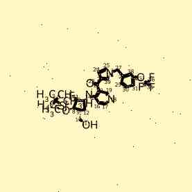 CC(C)(C)[Si](C)(C)O[C@@H]1[C@@H](CO)C[C@@H](Nc2ccncc2C(=O)c2ccn(Cc3cccc(OC(F)(F)F)c3)c2)[C@H]1F